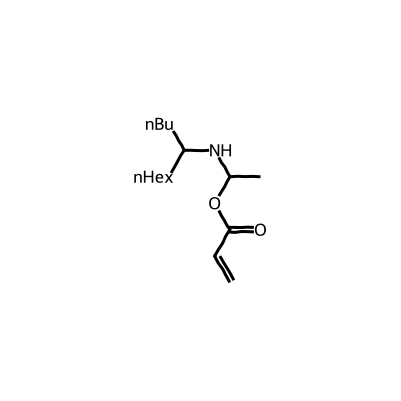 C=CC(=O)OC(C)NC(CCCC)CCCCCC